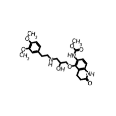 COC(=O)Nc1ccc2c(c1OCC(O)CNCCc1ccc(OC)c(OC)c1)CCC(=O)N2